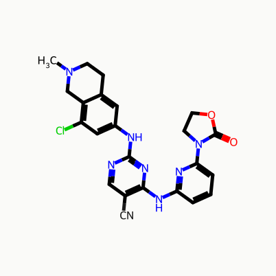 CN1CCc2cc(Nc3ncc(C#N)c(Nc4cccc(N5CCOC5=O)n4)n3)cc(Cl)c2C1